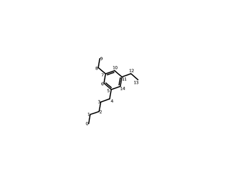 CCCCCc1cc(CC)cc(CC)c1